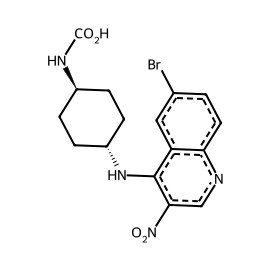 O=C(O)N[C@H]1CC[C@H](Nc2c([N+](=O)[O-])cnc3ccc(Br)cc23)CC1